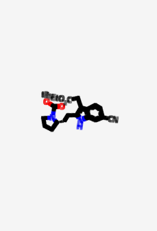 CCOC(=O)Cc1c(CC[C@@H]2CCCN2C(=O)OC(C)(C)C)[nH]c2cc(C#N)ccc12